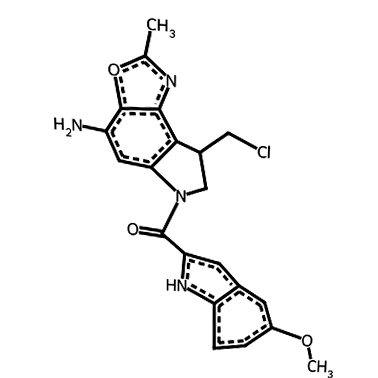 COc1ccc2[nH]c(C(=O)N3CC(CCl)c4c3cc(N)c3oc(C)nc43)cc2c1